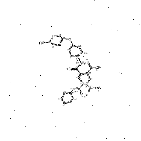 Nc1ccc(Oc2ccc(NC(=O)c3cc(C(=O)Nc4ccccc4)c(C(=O)O)cc3C(=O)O)cc2)cc1